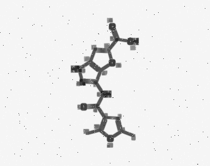 Cc1cc(C(=O)Nc2n[nH]c3cc(C(=O)O)oc23)c(C)o1